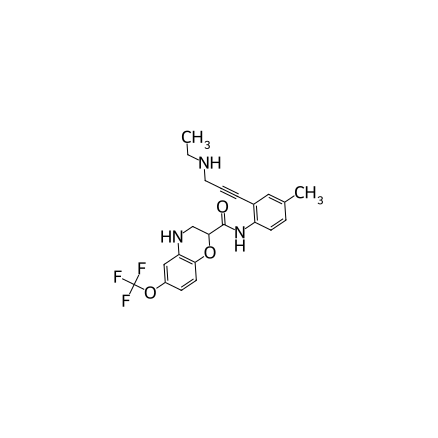 CCNCC#Cc1cc(C)ccc1NC(=O)C1CNc2cc(OC(F)(F)F)ccc2O1